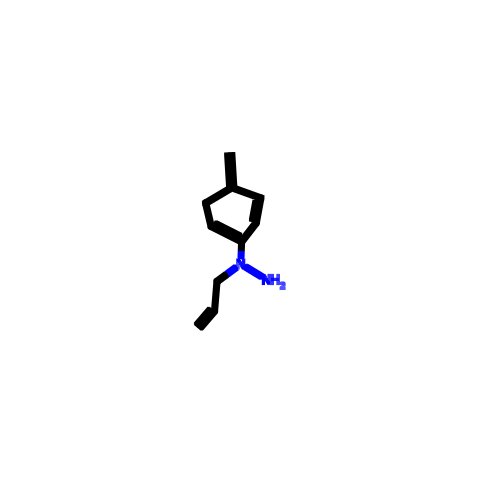 C=CCN(N)C1=CCC(=C)C=C1